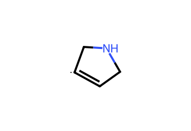 [C]1=CCNC1